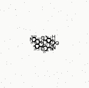 Cc1cc2[nH]c(=O)c3nnc(C4CCOCC4)n3c2cc1C(=O)N1CCc2ccccc2C1Cc1ccncc1